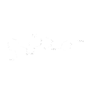 CSN1CCC(Nc2ncc(C(F)(F)F)c(-c3cnc(-c4ccccc4CO)s3)n2)CC1